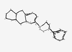 C1=C2CC3CCCCC3CC2NC(N2CCN(c3ccccc3)CC2)=C1